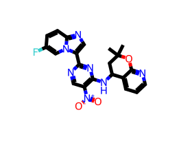 CC1(C)CC(Nc2nc(-c3cnc4ccc(F)cn34)ncc2[N+](=O)[O-])c2cccnc2O1